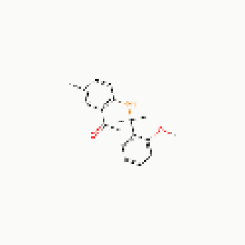 COc1ccccc1C(C)(C)Pc1ccc(C)cc1C(C)=O